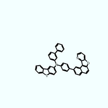 c1ccc(-c2cccc(N(c3ccc(-c4ccc5ccc6oc7cccnc7c6c5c4)cc3)c3ccc4sc5ccccc5c4c3)c2)cc1